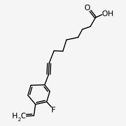 C=Cc1ccc(C#CCCCCCCC(=O)O)cc1F